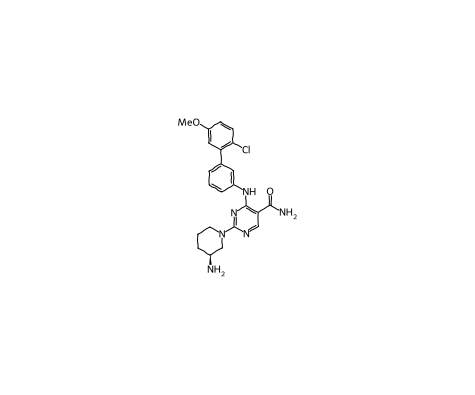 COc1ccc(Cl)c(-c2cccc(Nc3nc(N4CCC[C@H](N)C4)ncc3C(N)=O)c2)c1